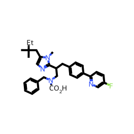 CCC(C)(C)Cc1cnc(C(Cc2ccc(-c3ccc(F)cn3)cc2)CN(Cc2ccccc2)C(=O)O)n1C